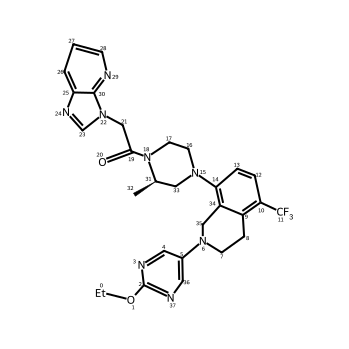 CCOc1ncc(N2CCc3c(C(F)(F)F)ccc(N4CCN(C(=O)Cn5cnc6cccnc65)[C@H](C)C4)c3C2)cn1